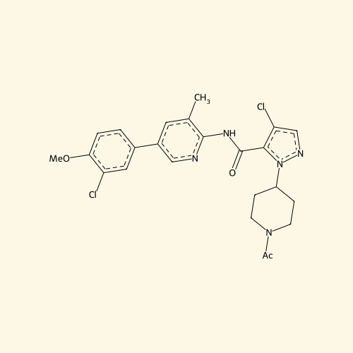 COc1ccc(-c2cnc(NC(=O)c3c(Cl)cnn3C3CCN(C(C)=O)CC3)c(C)c2)cc1Cl